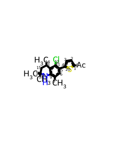 CC(=O)c1ccc(-c2cc(C)c3c(c2Cl)C(C)CC(C)(C)N3)s1